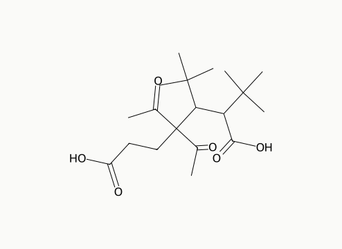 CC(=O)C(CCC(=O)O)(C(C)=O)C(C(C(=O)O)C(C)(C)C)C(C)(C)C